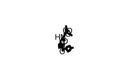 CCOP(=O)(CCNC(=O)Cc1ccc(C(=O)c2ccc(C)cc2)n1C)OCC